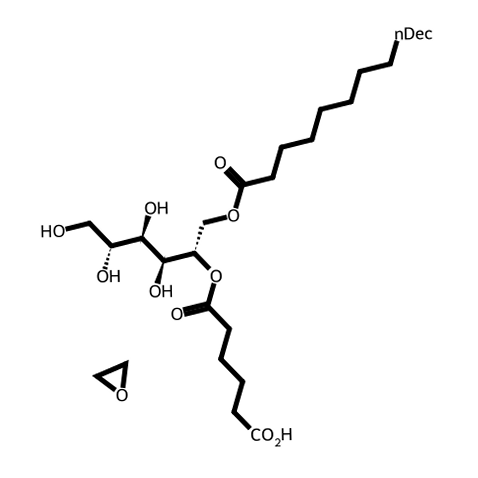 C1CO1.CCCCCCCCCCCCCCCCCC(=O)OC[C@H](OC(=O)CCCCC(=O)O)[C@@H](O)[C@H](O)[C@H](O)CO